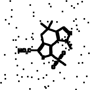 CCOC(=O)c1sc(S(C)(=O)=O)c2c1CC(C)(C)c1cnn(C)c1-2